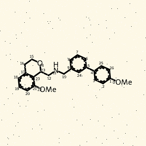 COc1ccc(-c2cccc(CNCC3OCCc4cccc(OC)c43)c2)cc1